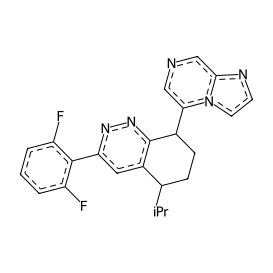 CC(C)C1CCC(c2cncc3nccn23)c2nnc(-c3c(F)cccc3F)cc21